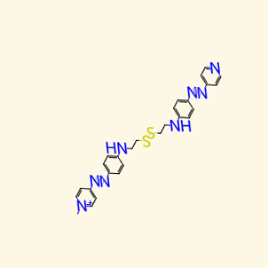 C[n+]1ccc(/N=N/c2ccc(NCCSSCCNc3ccc(/N=N/c4ccncc4)cc3)cc2)cc1